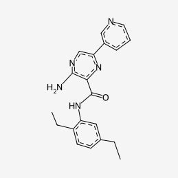 CCc1ccc(CC)c(NC(=O)c2nc(-c3cccnc3)cnc2N)c1